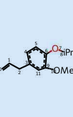 C=CCc1ccc(OC(C)C)c(OC)c1